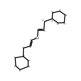 C(=COC=CCC1CCCCC1)CC1CCCCC1